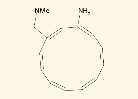 CNCC1=C/C(N)=C\C=C/C=C\C=C/C=C\1